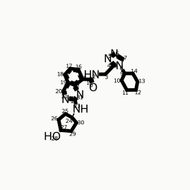 O=C(NCc1nncn1C1CCCCC1)c1cccc2cnc(N[C@H]3CC[C@H](O)CC3)nc12